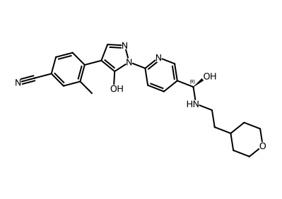 Cc1cc(C#N)ccc1-c1cnn(-c2ccc([C@@H](O)NCCC3CCOCC3)cn2)c1O